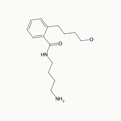 NCCCCNC(=O)c1ccccc1CCCC[O]